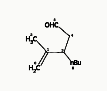 C=C(C)C(CC=O)CCCC